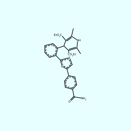 CCOC(=O)C1=C(C)NC(C)=C(C(=O)OCC)C1c1ccccc1-c1nc(-c2ccc(C(N)=O)cc2)cs1